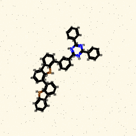 c1ccc(-c2nc(-c3ccccc3)nc(-c3cccc(-c4cccc5c4sc4c(-c6cccc7c6sc6ccccc67)cccc45)c3)n2)cc1